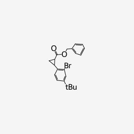 CC(C)(C)c1ccc(C2CC2C(=O)OCc2ccccc2)c(Br)c1